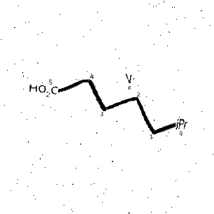 CC(C)CCCCC(=O)O.[V]